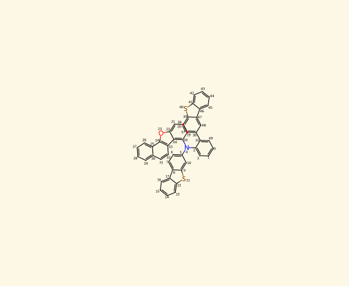 c1ccc(N(c2ccc3c(c2)sc2ccccc23)c2cccc3oc4c5ccccc5ccc4c23)c(-c2ccc3sc4ccccc4c3c2)c1